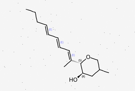 CCC/C=C/C=C/C=C(\C)[C@@H]1OCC(C)C[C@H]1O